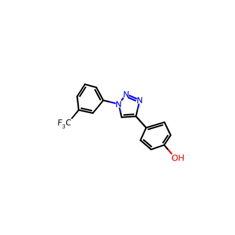 Oc1ccc(-c2cn(-c3cccc(C(F)(F)F)c3)nn2)cc1